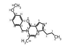 CCCc1ncc2c(=O)n(Cc3ccc(OC)cc3)c(C)cn12